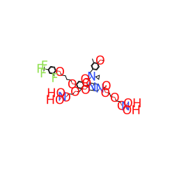 COc1ccc(CN(C(=O)C2=C(c3ccc(OCCCCOc4ccc(C(F)(F)F)cc4F)cc3)CC3CN(C(=O)OCCOCCON(O)O)CC2N3C(=O)OCCOCCON(O)O)C2CC2)cc1C